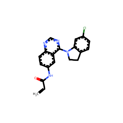 C=CC(=O)Nc1ccc2ncnc(N3CCc4ccc(Cl)cc43)c2c1